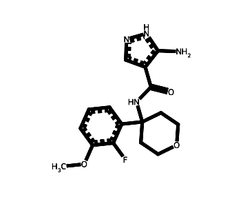 COc1cccc(C2(NC(=O)c3cn[nH]c3N)CCOCC2)c1F